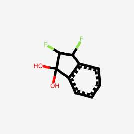 OC1(O)c2ccccc2C(F)C1F